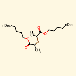 CCCCCCCCCCCCCCOC(=O)C(C)SC(C)C(=O)OCCCCCCCCCCCCCC